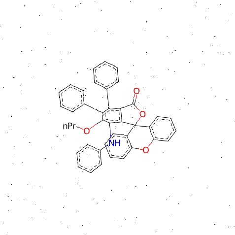 CCCOc1c(Nc2ccccc2)c2c(c(-c3ccccc3)c1-c1ccccc1)C(=O)OC21c2ccccc2Oc2ccccc21